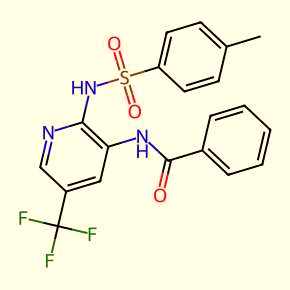 Cc1ccc(S(=O)(=O)Nc2ncc(C(F)(F)F)cc2NC(=O)c2ccccc2)cc1